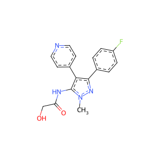 Cn1nc(-c2ccc(F)cc2)c(-c2ccncc2)c1NC(=O)CO